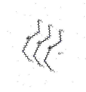 CCCCCCCC/C=C\CCCCCCCCOP(=O)([O-])CCCCCCCC/C=C\CCCCCCCC.CCCCCCCC/C=C\CCCCCCCCOP(=O)([O-])CCCCCCCC/C=C\CCCCCCCC.CCCCCCCC/C=C\CCCCCCCCOP(=O)([O-])CCCCCCCC/C=C\CCCCCCCC.[Cr+3]